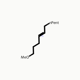 CCCCCC/C=C/CCCOC